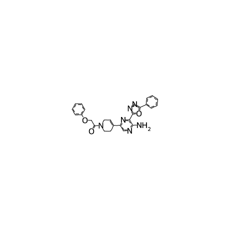 Nc1ncc(C2=CCN(C(=O)COc3ccccc3)CC2)nc1-c1nnc(-c2ccccc2)o1